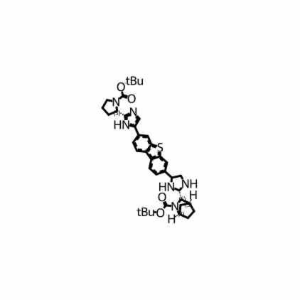 CC(C)(C)OC(=O)N1CCC[C@H]1c1ncc(-c2ccc3c(c2)sc2cc(C4CNC([C@@H]5[C@H]6CC[C@H](C6)N5C(=O)OC(C)(C)C)N4)ccc23)[nH]1